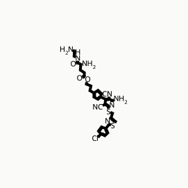 N#Cc1c(N)nc(SCc2csc(-c3ccc(Cl)cc3)n2)c(C#N)c1-c1ccc(CCCOC(=O)CC[C@@H](N)C(=O)NCCN)cc1